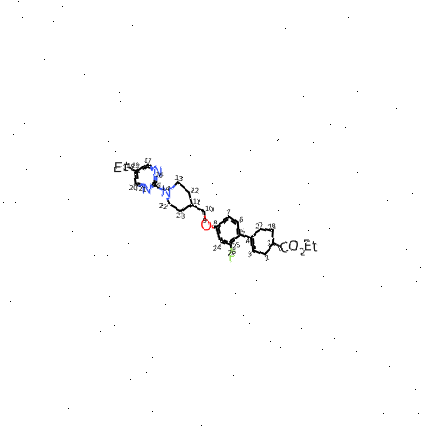 CCOC(=O)C1CC=C(c2ccc(OCC3CCN(c4ncc(CC)cn4)CC3)cc2F)CC1